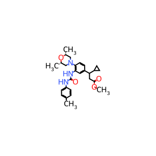 COC(=O)CC(c1ccc(N2C[C@@H](C)O[C@@H](C)C2)c(NC(=O)Nc2ccc(C)cc2)c1)C1CC1